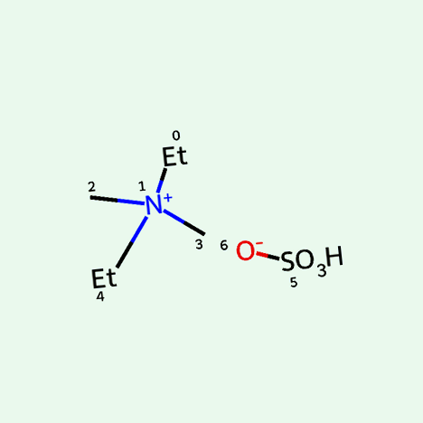 CC[N+](C)(C)CC.O=S(=O)([O-])O